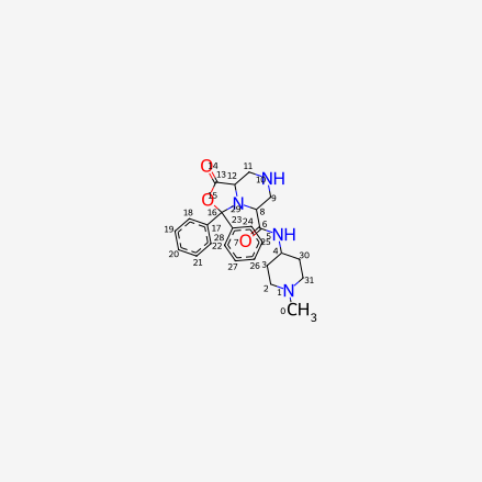 CN1CCC(NC(=O)C2CNCC3C(=O)OC(c4ccccc4)(c4ccccc4)N23)CC1